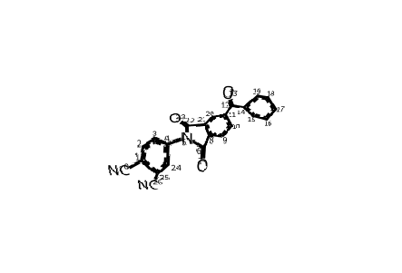 N#Cc1ccc(N2C(=O)c3ccc(C(=O)c4ccccc4)cc3C2=O)cc1C#N